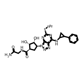 CCCSc1nc(NC2CC2c2ccccc2)c2nnn([C@H]3C[C@@H](C(=O)NCC(N)=O)[C@H](O)[C@@H]3O)c2n1